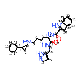 O=C(NC(CCCCNC1CC1c1ccccc1)C(=O)NCc1ccn[nH]1)c1cc2ccccc2[nH]1